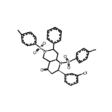 Cc1ccc(S(=O)(=O)N2CC3C(=O)CC(c4cccc(Cl)c4)N(S(=O)(=O)c4ccc(C)cc4)C3CC2c2ccccc2)cc1